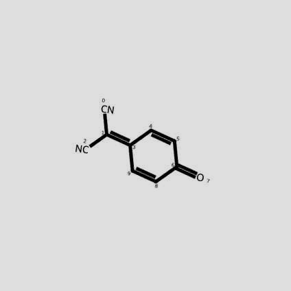 N#CC(C#N)=C1C=CC(=O)C=C1